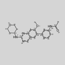 COc1cc2nc(NC3CCOCC3)ncc2cc1-c1cccc(NC(C)=O)c1